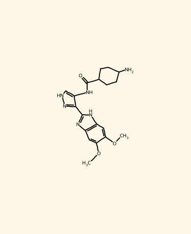 COc1cc2nc(-c3n[nH]cc3NC(=O)C3CCC(N)CC3)[nH]c2cc1OC